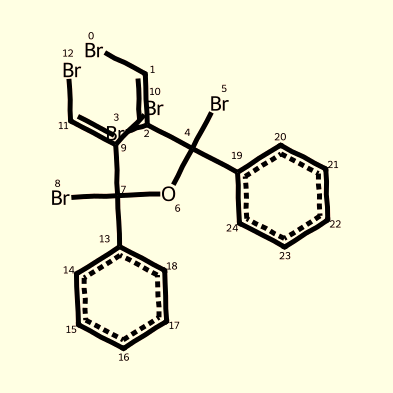 BrC=C(Br)C(Br)(OC(Br)(C(Br)=CBr)c1ccccc1)c1ccccc1